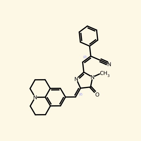 CN1C(=O)/C(=C/c2cc3c4c(c2)CCCN4CCC3)N=C1/C=C(\C#N)c1ccccc1